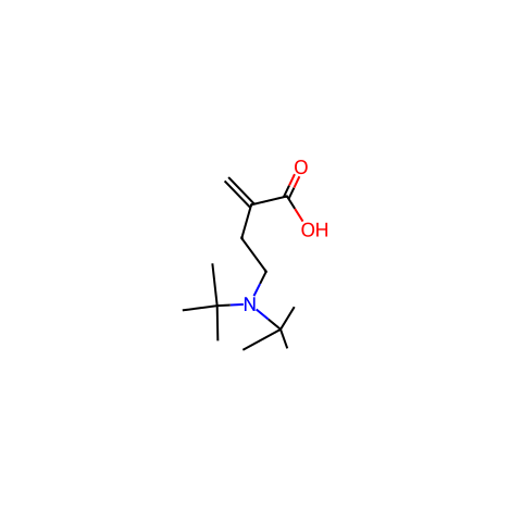 C=C(CCN(C(C)(C)C)C(C)(C)C)C(=O)O